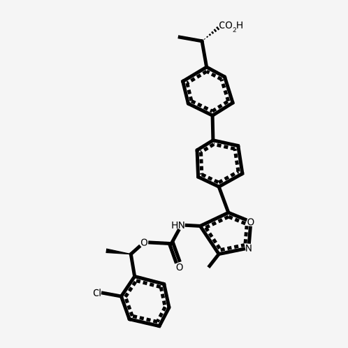 Cc1noc(-c2ccc(-c3ccc([C@H](C)C(=O)O)cc3)cc2)c1NC(=O)O[C@H](C)c1ccccc1Cl